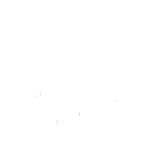 BrCBr.Cc1ccc2ccccc2c1Br